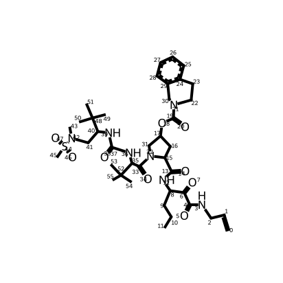 C=CCNC(=O)C(=O)C(CCC)NC(=O)C1CC(OC(=O)N2CCc3ccccc3C2)CN1C(=O)C(NC(=O)NC(CN(C)S(C)(=O)=O)C(C)(C)C)C(C)(C)C